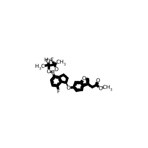 COC(=O)Cc1coc2cc(O[C@@H]3CCc4c(B5OC(C)(C)C(C)(C)O5)ccc(F)c43)ccc12